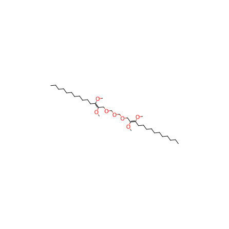 CCCCCCCCCCCC(OC)=C(COCOCOCC(OC)=C(CCCCCCCCCCC)OC)OC